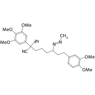 C/N=N/C(CCCC(C#N)(c1cc(OC)c(OC)c(OC)c1)C(C)C)CCc1ccc(OC)c(OC)c1